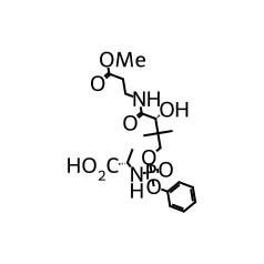 COC(=O)CCNC(=O)[C@H](O)C(C)(C)COP(=O)(N[C@@H](C)C(=O)O)Oc1ccccc1